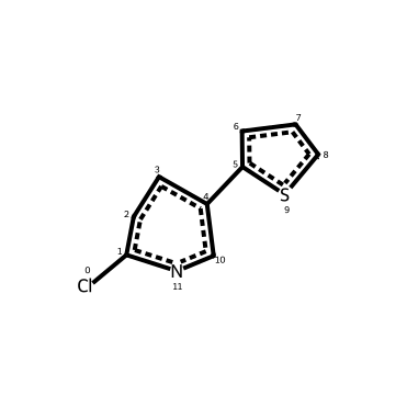 Clc1ccc(-c2cc[c]s2)cn1